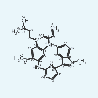 C=CC(=O)Nc1cc(Nc2nccc(-c3cn(C)c4ccccc34)n2)c(OC)cc1SCCN(C)C